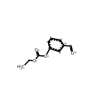 CCOC(=O)Oc1cccc(C=O)c1